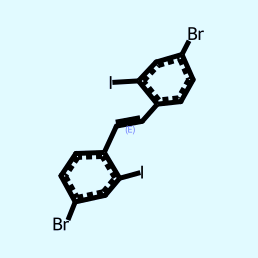 Brc1ccc(/C=C/c2ccc(Br)cc2I)c(I)c1